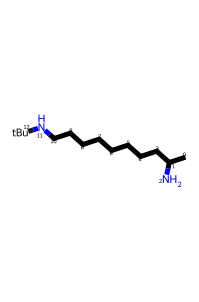 CC(N)CCCCCCCCNC(C)(C)C